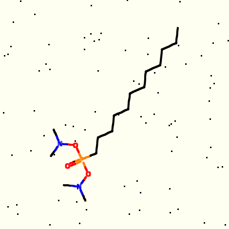 CCCCCCCCCCCCP(=O)(ON(C)C)ON(C)C